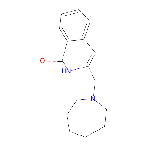 O=c1[nH]c(CN2CCCCCC2)cc2ccccc12